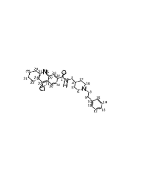 O=C(NCC1CCN(CCc2ccccc2)CC1)c1ccc2c(Cl)c3c(nc2c1)CCCC3